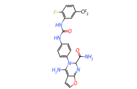 NC(=O)C1N=c2occc2=C(N)N1c1ccc(NC(=O)Nc2cc(C(F)(F)F)ccc2F)cc1